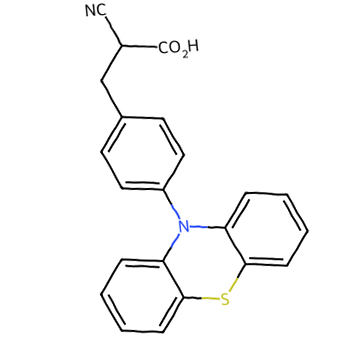 N#CC(Cc1ccc(N2c3ccccc3Sc3ccccc32)cc1)C(=O)O